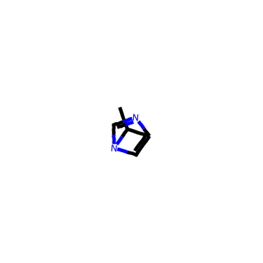 CC1c2cn1cn2